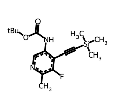 Cc1ncc(NC(=O)OC(C)(C)C)c(C#C[Si](C)(C)C)c1F